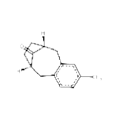 Cc1ccc2c(c1)C[C@H]1CC[C@@H](C2)C1=O